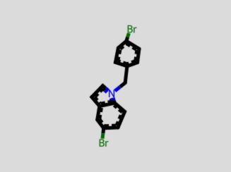 Brc1ccc(Cn2ccc3cc(Br)ccc32)cc1